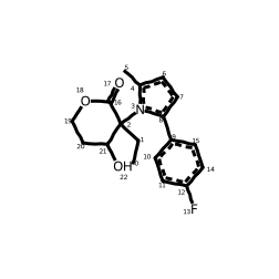 CCC1(n2c(C)ccc2-c2ccc(F)cc2)C(=O)OCCC1O